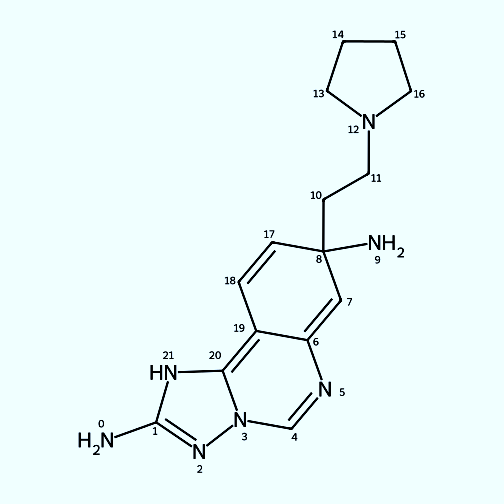 NC1=NN2C=NC3=CC(N)(CCN4CCCC4)C=CC3=C2N1